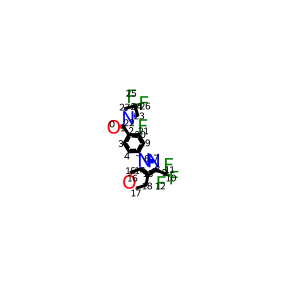 O=C(c1ccc(-n2nc(C(F)(F)F)c3c2COCC3)cc1F)N1CC(F)(F)C1